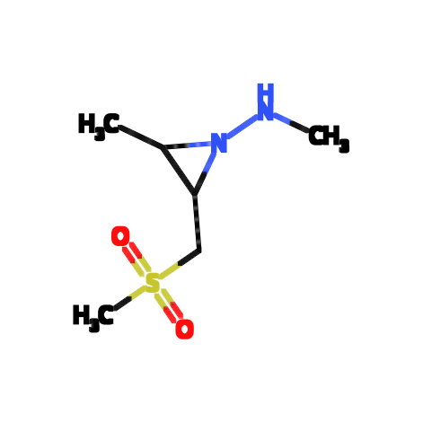 CNN1C(C)C1CS(C)(=O)=O